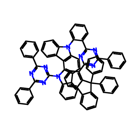 c1ccc(-c2nc(-c3ccccc3-n3c4ccccc4c4c3ccc3c5ccccc5n(-c5nc(-c6ccccc6)nc(-c6ccccc6)n5)c34)nc(-c3cccc4c3C(c3ccccc3)(c3ccccc3)c3ccccc3-4)n2)cc1